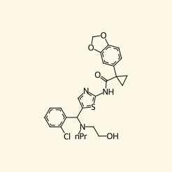 CCCN(CCO)C(c1cnc(NC(=O)C2(c3ccc4c(c3)OCO4)CC2)s1)c1ccccc1Cl